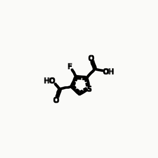 O=C(O)c1csc(C(=O)O)c1F